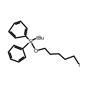 CC(C)(C)[Si](OCCCCCI)(c1ccccc1)c1ccccc1